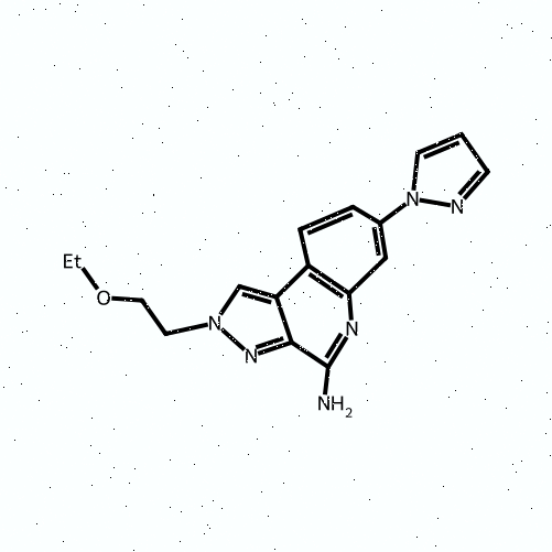 CCOCCn1cc2c(n1)c(N)nc1cc(-n3cccn3)ccc12